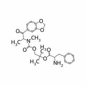 CC(C(=O)c1ccc2c(c1)OCO2)N(C)C(=O)OCC(C)(C)OC(=O)C(N)Cc1ccccc1